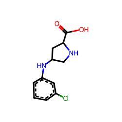 O=C(O)C1CC(Nc2cccc(Cl)c2)CN1